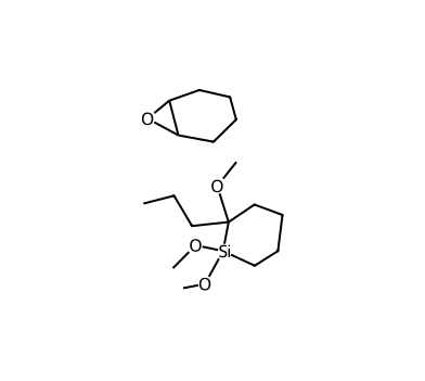 C1CCC2OC2C1.CCCC1(OC)CCCC[Si]1(OC)OC